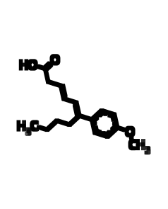 CCCC/C(=C\C=C\CC(=O)O)c1ccc(OC)cc1